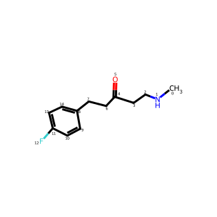 CNCCC(=O)CCc1ccc(F)cc1